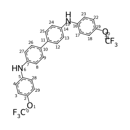 FC(F)(F)Oc1ccc(Nc2ccc(-c3ccc(Nc4ccc(OC(F)(F)F)cc4)cc3)cc2)cc1